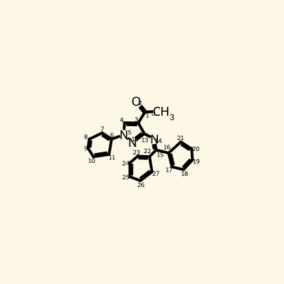 CC(=O)c1cn(-c2ccccc2)nc1N=C(c1ccccc1)c1ccccc1